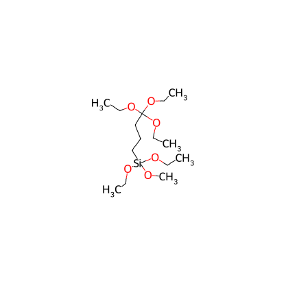 CCOC(CCC[Si](OC)(OCC)OCC)(OCC)OCC